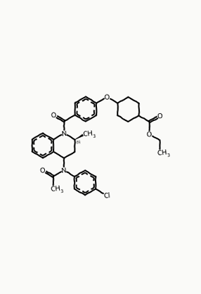 CCOC(=O)C1CCC(Oc2ccc(C(=O)N3c4ccccc4C(N(C(C)=O)c4ccc(Cl)cc4)C[C@@H]3C)cc2)CC1